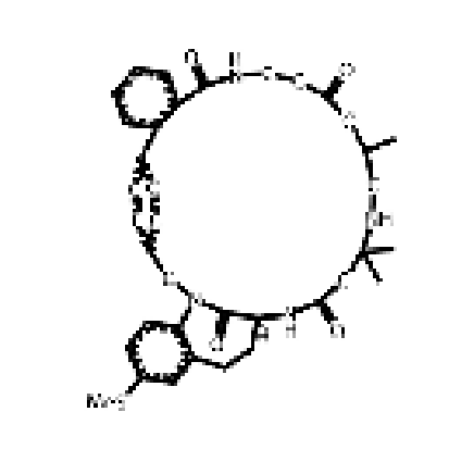 CSc1ccc2c(c1)CC[C@H]1NC(=O)CC(C)(C)NCC(C)OC(=O)CCNC(=O)c3ccccc3-c3ccc(cc3)CN2C1=O